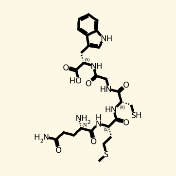 CSCC[C@H](NC(=O)[C@@H](N)CCC(N)=O)C(=O)N[C@@H](CS)C(=O)NCC(=O)N[C@@H](Cc1c[nH]c2ccccc12)C(=O)O